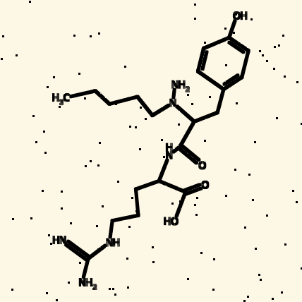 CCCCCN(N)C(Cc1ccc(O)cc1)C(=O)NC(CCCNC(=N)N)C(=O)O